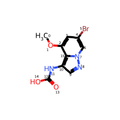 COc1cc(Br)cn2ncc(NC(=O)O)c12